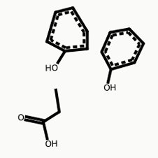 CCC(=O)O.Oc1ccccc1.Oc1ccccc1